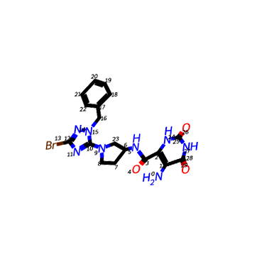 Nc1c(C(=O)NC2CCN(c3nc(Br)nn3Cc3ccccc3)C2)[nH]c(=O)[nH]c1=O